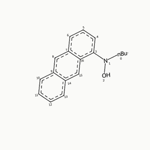 CCC[CH]N(O)c1cccc2cc3ccccc3cc12